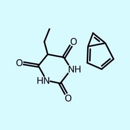 CCC1C(=O)NC(=O)NC1=O.c1cc2cc-2c1